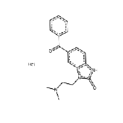 CN(C)CCn1c(=O)[nH]c2ccc(C(=O)c3ccccc3)cc21.Cl